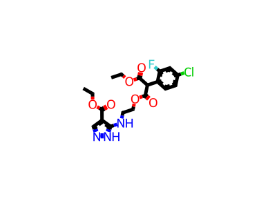 CCOC(=O)c1cn[nH]c1NCCOC(=O)C(C(=O)OCC)c1ccc(Cl)cc1F